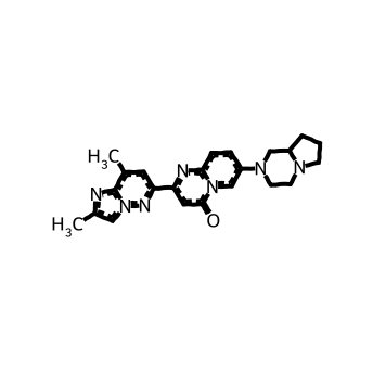 Cc1cn2nc(-c3cc(=O)n4cc(N5CCN6CCCC6C5)ccc4n3)cc(C)c2n1